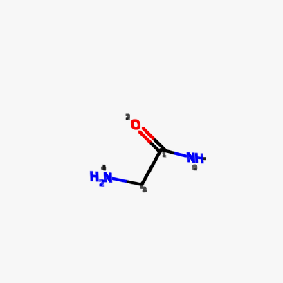 [NH]C(=O)[CH]N